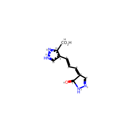 O=C1NN=C/C1=C/C=C/c1c[nH]nc1C(=O)O